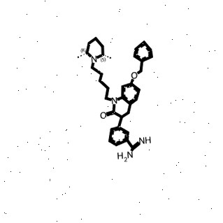 C[C@@H]1CCC[C@H](C)N1CCCCCN1C(=O)C(c2cccc(C(=N)N)c2)Cc2ccc(OCc3ccccc3)cc21